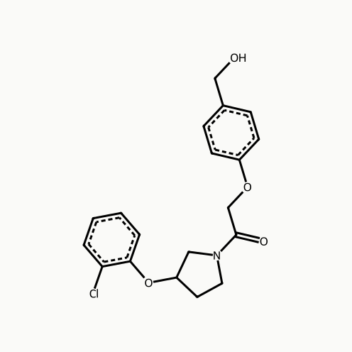 O=C(COc1ccc(CO)cc1)N1CCC(Oc2ccccc2Cl)C1